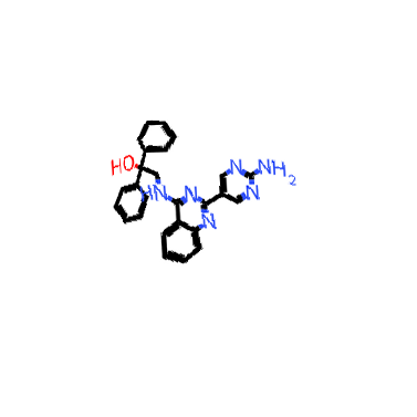 Nc1ncc(-c2nc(NCC(O)(c3ccccc3)c3ccccc3)c3ccccc3n2)cn1